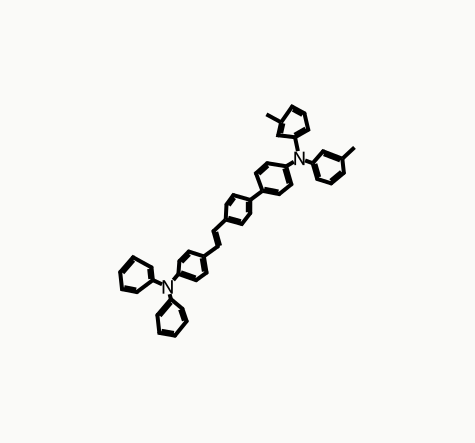 Cc1cccc(N(c2ccc(-c3ccc(/C=C/c4ccc(N(c5ccccc5)c5ccccc5)cc4)cc3)cc2)c2cccc(C)c2)c1